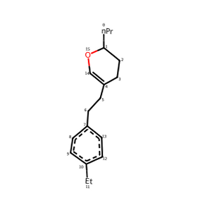 CCCC1CCC(CCc2ccc(CC)cc2)=CO1